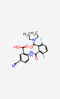 CCN(CC)C(=O)c1c(F)ccc(F)c1C(=O)Nc1ccc(C#N)cc1C(=O)O